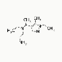 CCN(CCN)C(C)c1cnn(CC)c1C